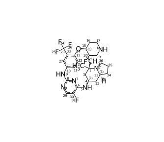 CC1(C)C[C@H](Nc2nc(Nc3ccc(O[C@H]4CCNCC4F)c(C(F)(F)F)c3)ncc2F)C[C@@H]2CCCN21